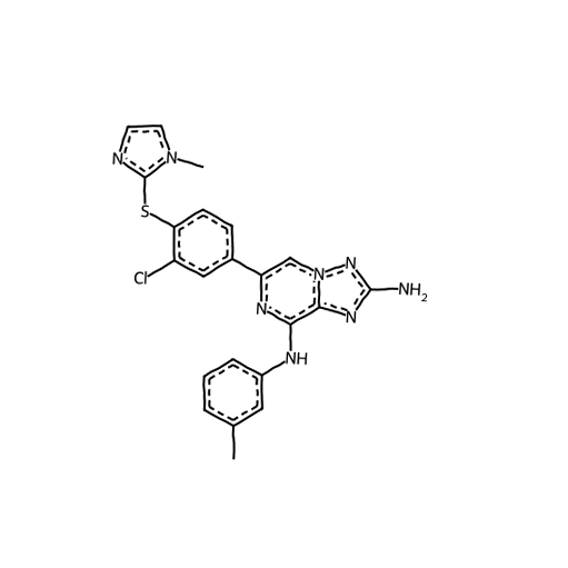 Cc1cccc(Nc2nc(-c3ccc(Sc4nccn4C)c(Cl)c3)cn3nc(N)nc23)c1